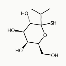 CC(C)C1(S)O[C@@H](CO)[C@@H](O)[C@@H](O)[C@@H]1O